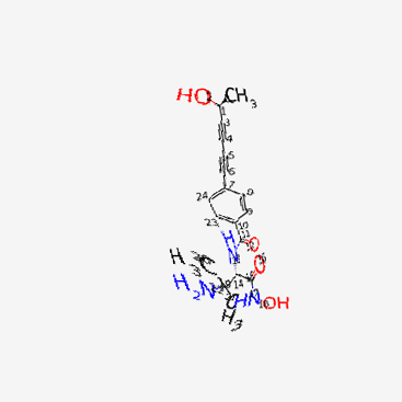 C[C@H](O)C#CC#Cc1ccc(C(=O)N[C@H](C(=O)NO)C(C)(C)N)cc1